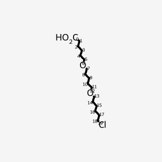 O=C(O)CCCCCOCCCCCOCCCCCCCl